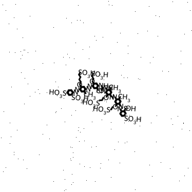 Cc1cc(N=Nc2ccc(S(=O)(=O)O)cc2SO)c(OCCS(=O)(=O)O)cc1N=Nc1cc(C)c(NC(=O)Nc2cc(OCCS(=O)(=O)O)c(N=Nc3cc(OCCCCS(=O)(=O)O)c(N=Nc4ccc(S(=O)(=O)O)cc4S(=O)(=O)O)cc3C)cc2C)cc1OCCCS(=O)(=O)O